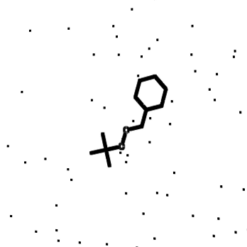 CC(C)(C)OOCC1CCCCC1